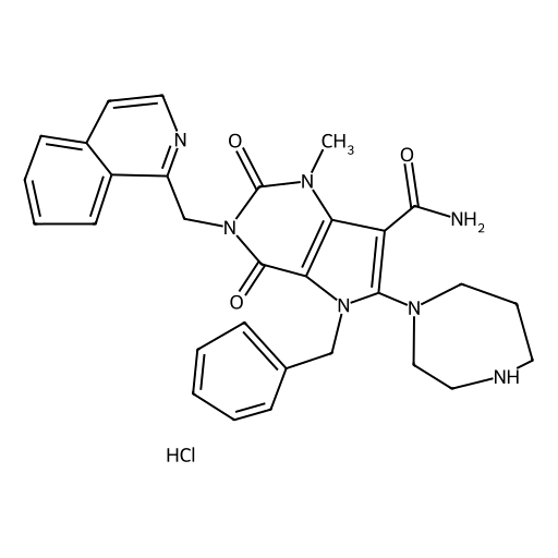 Cl.Cn1c(=O)n(Cc2nccc3ccccc23)c(=O)c2c1c(C(N)=O)c(N1CCCNCC1)n2Cc1ccccc1